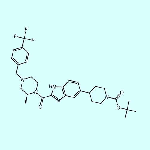 C[C@H]1CN(Cc2ccc(C(F)(F)F)cc2)CCN1C(=O)c1nc2cc(C3CCN(C(=O)OC(C)(C)C)CC3)ccc2[nH]1